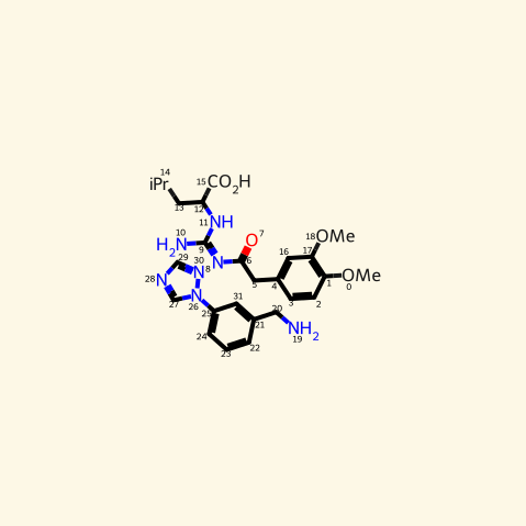 COc1ccc(CC(=O)N=C(N)NC(CC(C)C)C(=O)O)cc1OC.NCc1cccc(-n2cncn2)c1